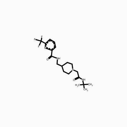 CC(C)(C)NC(=O)CN1CCC(CNC(=O)c2cccc(C(F)(F)F)n2)CC1